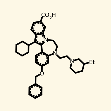 CCC1CCCN(CCN2CCn3c(c(C4CCCCC4)c4ccc(C(=O)O)cc43)-c3ccc(OCc4ccccc4)cc32)C1